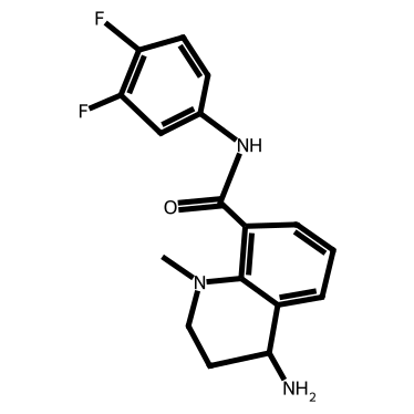 CN1CCC(N)c2cccc(C(=O)Nc3ccc(F)c(F)c3)c21